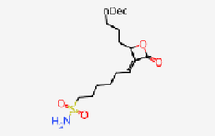 CCCCCCCCCCCCCC1OC(=O)C1=CCCCCCS(N)(=O)=O